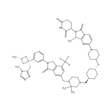 CC1c2nc(N3CCC(O[C@H]4CC[C@H](CN5CCN(Cc6cc7c(c(C(F)(F)F)c6)CN(c6cccc([C@]8(Cc9nncn9C)C[C@@H](C)C8)c6)C7=O)C(C)(C)C5)CC4)CC3)ccc2C(=O)N1C1CCC(=O)NC1=O